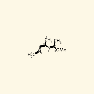 C=N/C=C(C)\N=C(/C)OC